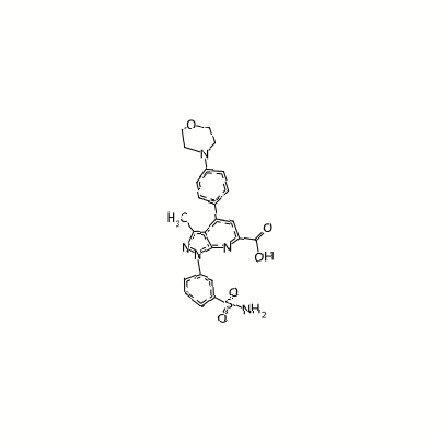 Cc1nn(-c2cccc(S(N)(=O)=O)c2)c2nc(C(=O)O)cc(-c3ccc(N4CCOCC4)cc3)c12